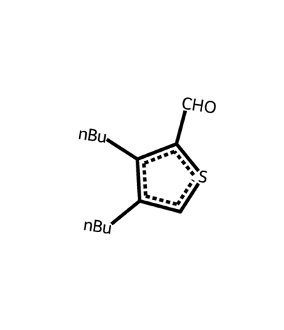 CCCCc1csc(C=O)c1CCCC